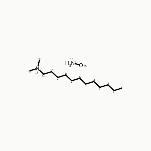 CCCCCCCCCCCCN(C)C.[NH3+][O-]